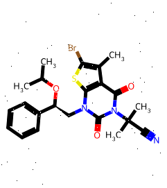 Cc1c(Br)sc2c1c(=O)n(C(C)(C)C#N)c(=O)n2C[C@H](OC(C)C)c1ccccc1